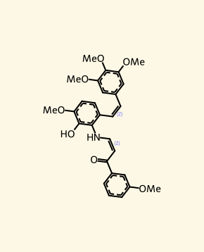 COc1cccc(C(=O)/C=C\Nc2c(/C=C\c3cc(OC)c(OC)c(OC)c3)ccc(OC)c2O)c1